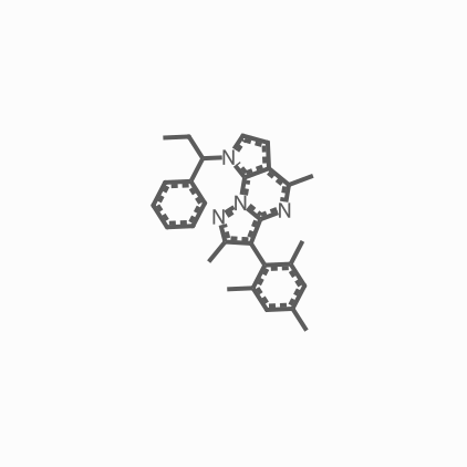 CCC(c1ccccc1)n1ccc2c(C)nc3c(-c4c(C)cc(C)cc4C)c(C)nn3c21